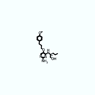 CCC[C@@H](CO)Nc1nc(N)ncc1OCCCc1ccc(OC)cc1